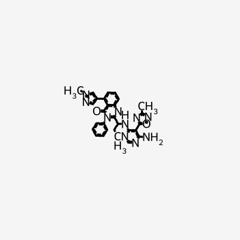 CCC(Nc1ncnc(N)c1-c1nc(C)no1)c1nc2cccc(-c3cnn(C)c3)c2c(=O)n1-c1ccccc1